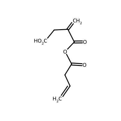 C=CCC(=O)OC(=O)C(=C)CC(=O)O